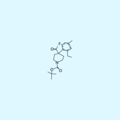 CCc1cc(C)cc(F)c1C1(C(C)=O)CCN(C(=O)OC(C)(C)C)CC1